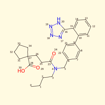 CCCCN(Cc1ccc(-c2ccccc2-c2nnn[nH]2)cc1)C(=O)CCC1(C(=O)O)CCCC1